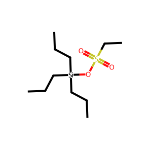 CCC[Si](CCC)(CCC)OS(=O)(=O)CC